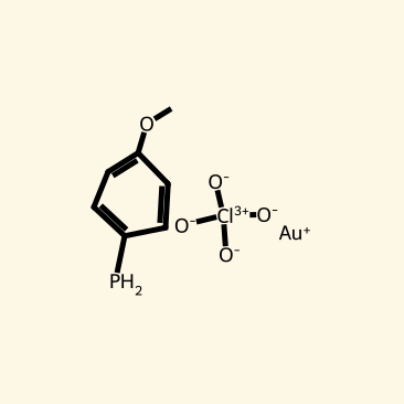 COc1ccc(P)cc1.[Au+].[O-][Cl+3]([O-])([O-])[O-]